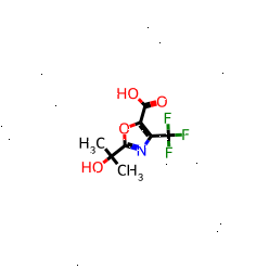 CC(C)(O)c1nc(C(F)(F)F)c(C(=O)O)o1